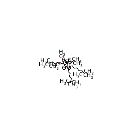 C=CC[O][Ti](=[O])([CH2]C(C)(C)C)([O]CC=C)([C](=O)CCCCCC(C)(C)C)([C](=O)CCCCCC(C)(C)C)[C](=O)CCCCCC(C)(C)C